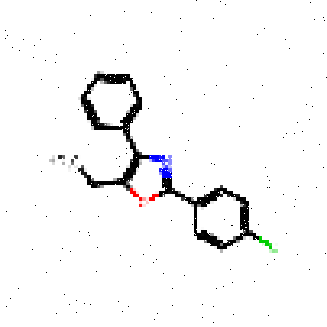 O=C(O)Cc1oc(-c2ccc(Cl)cc2)nc1-c1ccccc1